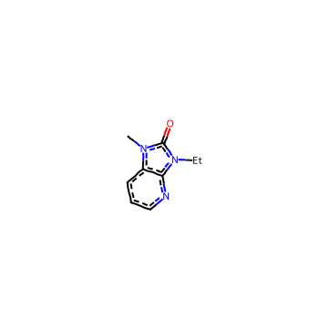 CCn1c(=O)n(C)c2cccnc21